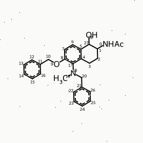 CC(=O)NC1CCc2c(ccc(OCc3ccccc3)c2N(C)Cc2ccccc2)C1O